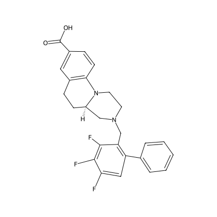 O=C(O)c1ccc2c(c1)CC[C@@H]1CN(Cc3c(-c4ccccc4)cc(F)c(F)c3F)CCN21